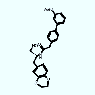 COc1cccc(-c2ccc(CC(=O)N[C@H](CN=O)Cc3ccc4c(c3)OCCO4)cc2)c1